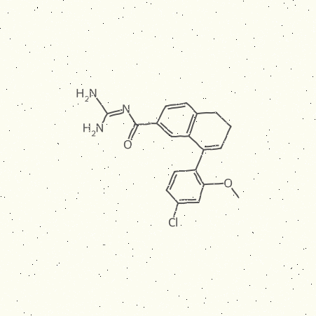 COc1cc(Cl)ccc1C1=CCCc2ccc(C(=O)N=C(N)N)cc21